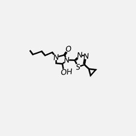 CCCCCN1CC(O)N(c2nnc(C3CC3)s2)C1=O